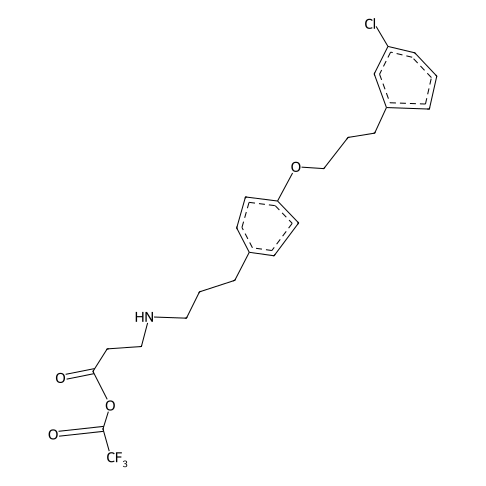 O=C(CCNCCCc1ccc(OCCCc2cccc(Cl)c2)cc1)OC(=O)C(F)(F)F